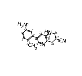 Cc1ccc(N)cc1-c1cnc2c(c1)NCC(C#N)C2